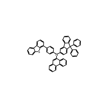 c1ccc(C2(c3ccccc3)c3ccccc3-c3cc(N(c4ccc(-c5cccc6c5sc5ccccc56)cc4)c4cc5ccccc5c5ccccc45)ccc32)cc1